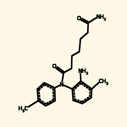 Cc1ccc(N(C(=O)CCCCCC(N)=O)c2cccc(C)c2N)cc1